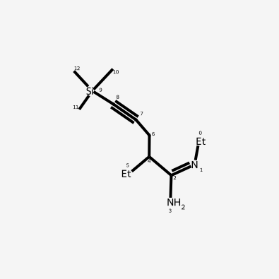 CC/N=C(/N)C(CC)CC#C[Si](C)(C)C